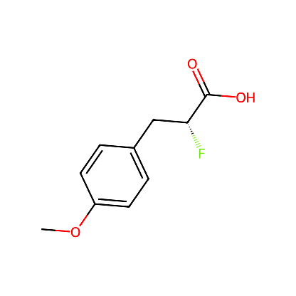 COc1ccc(C[C@@H](F)C(=O)O)cc1